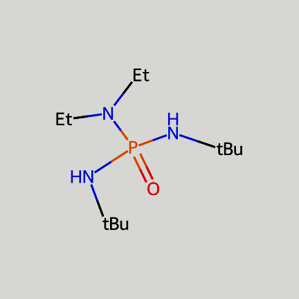 CCN(CC)P(=O)(NC(C)(C)C)NC(C)(C)C